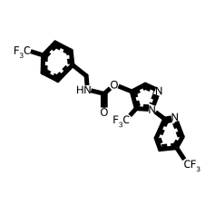 O=C(NCc1ccc(C(F)(F)F)cc1)Oc1cnn(-c2ccc(C(F)(F)F)cn2)c1C(F)(F)F